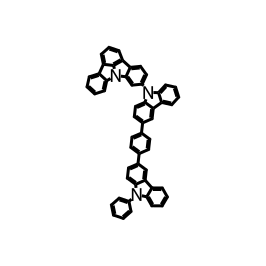 c1ccc(-n2c3ccccc3c3cc(-c4ccc(-c5ccc6c(c5)c5ccccc5n6-c5ccc6c7cccc8c9ccccc9n(c6c5)c87)cc4)ccc32)cc1